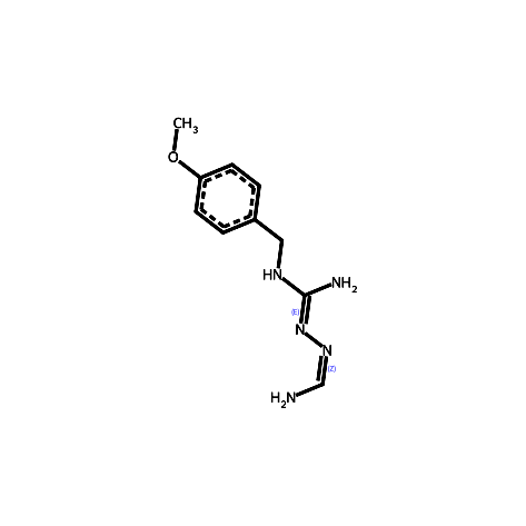 COc1ccc(CN/C(N)=N/N=C\N)cc1